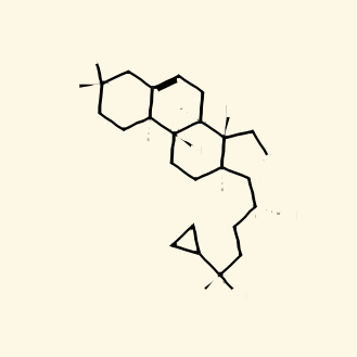 C[C@H](CC[C@](O)(C1CC1)C(F)(F)F)[C@H]1CC[C@H]2[C@@H]3CC=C4C[C@@](C)(O)CC[C@]4(C)[C@H]3CC[C@]12C